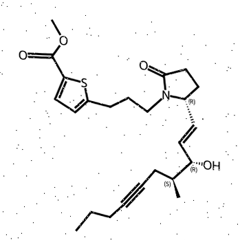 CCCC#CC[C@H](C)[C@@H](O)C=C[C@H]1CCC(=O)N1CCCc1ccc(C(=O)OC)s1